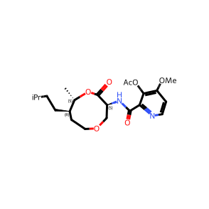 COc1ccnc(C(=O)N[C@H]2COCC[C@@H](CCC(C)C)[C@H](C)OC2=O)c1OC(C)=O